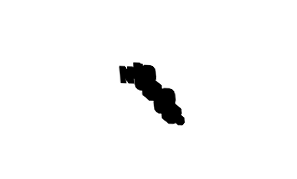 C=C(C#N)C(=O)OC1CCC(C(=O)Oc2ccc(C)cc2)CC1